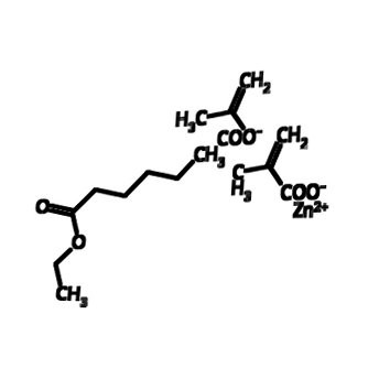 C=C(C)C(=O)[O-].C=C(C)C(=O)[O-].CCCCCC(=O)OCC.[Zn+2]